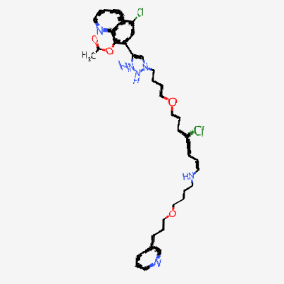 CC(=O)Oc1c(C2=CN(CCCCOCCC/C(Cl)=C/C=C\NCCCCOCCCc3cccnc3)NN2)cc(Cl)c2cccnc12